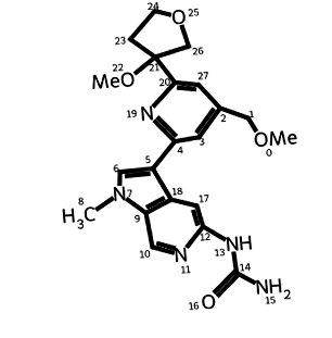 COCc1cc(-c2cn(C)c3cnc(NC(N)=O)cc23)nc(C2(OC)CCOC2)c1